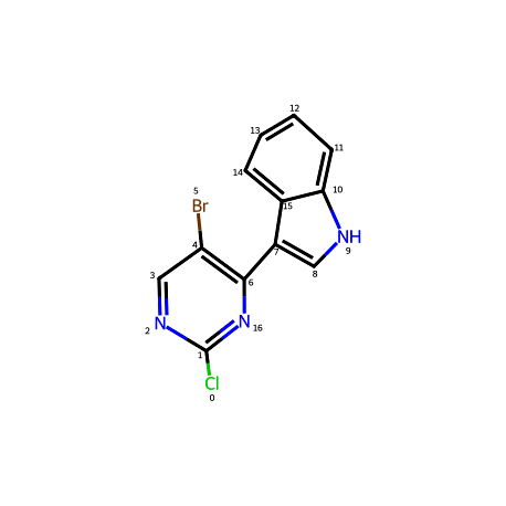 Clc1ncc(Br)c(-c2c[nH]c3ccccc23)n1